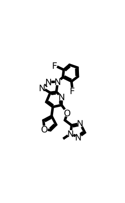 Cn1ncnc1COc1nc2c(cc1-c1ccoc1)nnn2-c1c(F)cccc1F